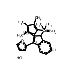 CC1=C(C)C(C)[C]([Zr]([CH3])([CH3])(=[SiH2])[CH]2C(C)=C(c3ccco3)c3ccccc32)=C1C.Cl.Cl